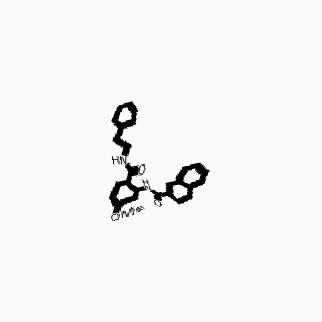 COc1ccc(C(=O)NCCc2ccccc2)c(NC(=O)c2ccc3ccccc3c2)c1